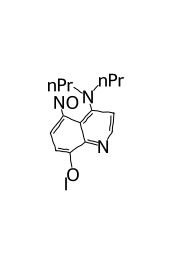 CCCN(CCC)c1ccnc2c(OI)ccc(N=O)c12